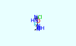 C#Cc1n[nH]c2nc(/C=C/C(=O)Nc3cc(Cl)cnc3C)c(F)cc12